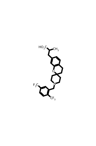 CC(Cc1ccc2c(c1)OC1(CC2)CCN(Cc2cc(C(F)(F)F)ccc2C(F)(F)F)CC1)C(=O)O